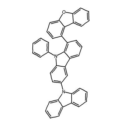 c1ccc(-n2c3ccc(-n4c5ccccc5c5ccccc54)cc3c3cccc(-c4cccc5oc6ccccc6c45)c32)cc1